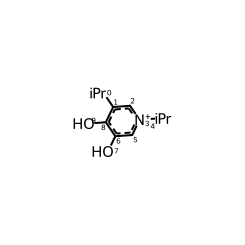 CC(C)c1c[n+](C(C)C)cc(O)c1O